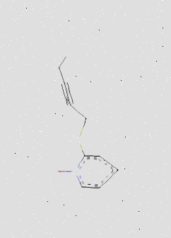 CCC#CCSc1cccc[n+]1[O-]